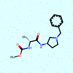 CC(C)(C)OC(=O)N[C@@H](C(=O)N[C@@H]1CCN(Cc2ccccc2)C1)C(C)(C)C